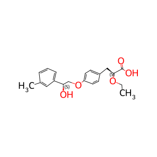 CCO[C@@H](Cc1ccc(OC[C@@H](O)c2cccc(C)c2)cc1)C(=O)O